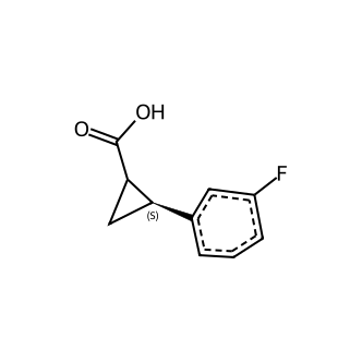 O=C(O)C1C[C@@H]1c1cccc(F)c1